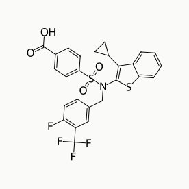 O=C(O)c1ccc(S(=O)(=O)N(Cc2ccc(F)c(C(F)(F)F)c2)c2sc3ccccc3c2C2CC2)cc1